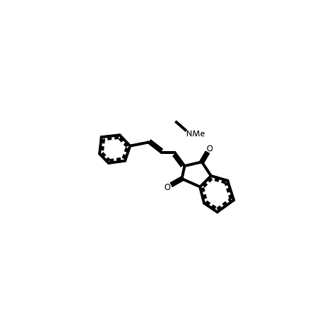 CNC.O=C1C(=CC=Cc2ccccc2)C(=O)c2ccccc21